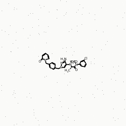 C[C@H](C(=O)N(C)c1cccc(Cl)c1)N(C=O)c1cn(Cc2ccc(Cn3ccccc3=O)cc2)nc1N